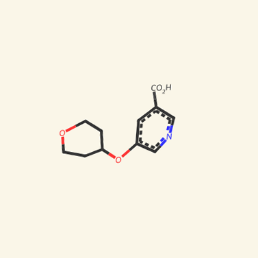 O=C(O)c1cncc(OC2CCOCC2)c1